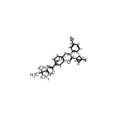 CC(C)(C)c1noc(C23CCC(CN(C(=O)C45CC(F)(C4)C5)c4cccc(Br)c4)(CC2)OC3)n1